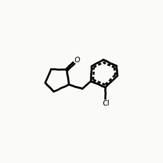 O=C1CCCC1Cc1ccccc1Cl